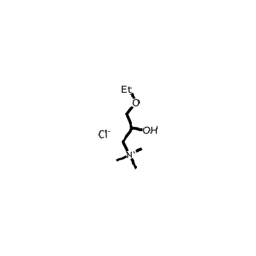 CCOCC(O)C[N+](C)(C)C.[Cl-]